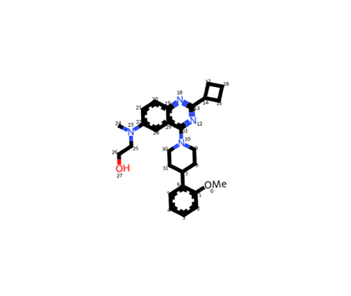 COc1ccccc1C1CCN(c2nc(C3CCC3)nc3ccc(N(C)CCO)cc23)CC1